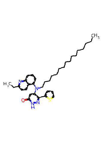 CCCCCCCCCCCCCCCCN(c1cc(=O)[nH]nc1-c1cccs1)c1cccc2nc(CC)ccc12